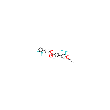 CCCCOc1ccc(-c2ccc(C(=O)OC3CCC(c4ccc(C)c(F)c4F)CC3)c(F)c2)c(F)c1F